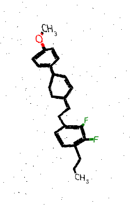 CCCc1ccc(CCC2C=CC(c3ccc(OC)cc3)CC2)c(F)c1F